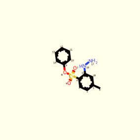 Cc1ccc(S(=O)(=O)Oc2ccccc2)c(NN)c1